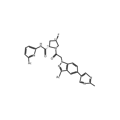 CC(=O)c1cccc(NC(=O)[C@@H]2C[C@@H](F)CN2C(=O)Cn2nc(C(C)=O)c3cc(-c4cnc(C)nc4)ccc32)n1